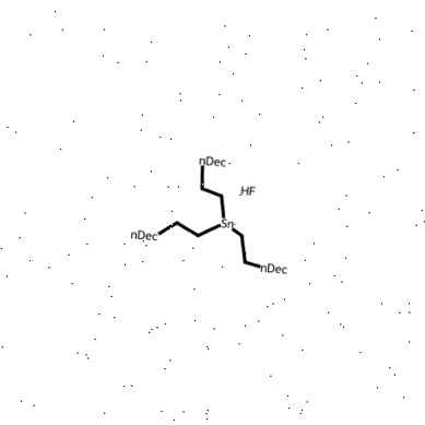 CCCCCCCCCCC[CH2][Sn]([CH2]CCCCCCCCCCC)[CH2]CCCCCCCCCCC.F